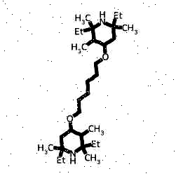 CCC1(C)CC(OCCCCCCOC2CC(C)(CC)NC(C)(CC)C2C)C(C)C(C)(CC)N1